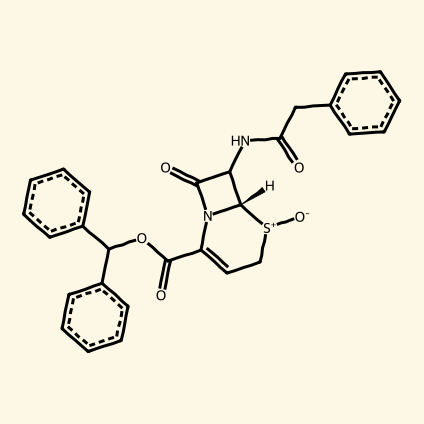 O=C(Cc1ccccc1)NC1C(=O)N2C(C(=O)OC(c3ccccc3)c3ccccc3)=CC[S+]([O-])[C@@H]12